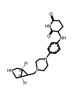 O=C1CCC(Nc2ccc(N3CCN(CC4[C@H]5CNC[C@@H]45)CC3)cc2)C(=O)N1